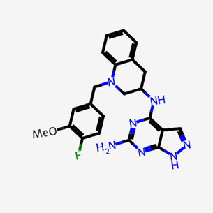 COc1cc(CN2CC(Nc3nc(N)nc4[nH]ncc34)Cc3ccccc32)ccc1F